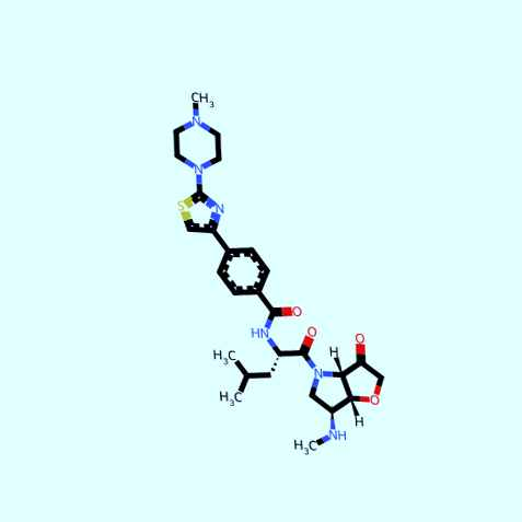 CN[C@H]1CN(C(=O)[C@H](CC(C)C)NC(=O)c2ccc(-c3csc(N4CCN(C)CC4)n3)cc2)[C@@H]2C(=O)CO[C@H]12